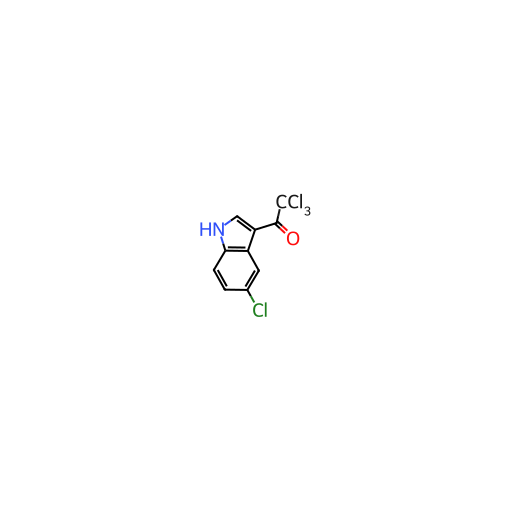 O=C(c1c[nH]c2ccc(Cl)cc12)C(Cl)(Cl)Cl